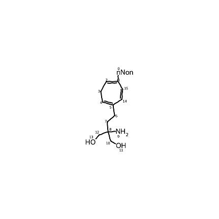 CCCCCCCCCC1=CCC=C(CCC(N)(CO)CO)C=C1